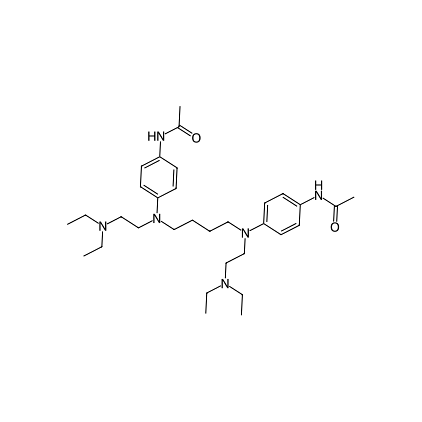 CCN(CC)CCN(CCCCN(CCN(CC)CC)c1ccc(NC(C)=O)cc1)c1ccc(NC(C)=O)cc1